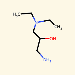 CCN(CC)CC(O)CN